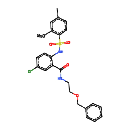 COc1cc(C)ccc1S(=O)(=O)Nc1ccc(Cl)cc1C(=O)NCCOCc1ccccc1